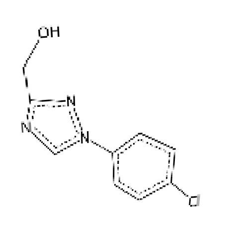 OCc1ncn(-c2ccc(Cl)cc2)n1